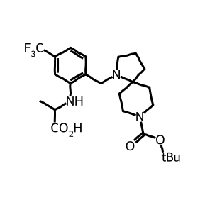 CC(Nc1cc(C(F)(F)F)ccc1CN1CCCC12CCN(C(=O)OC(C)(C)C)CC2)C(=O)O